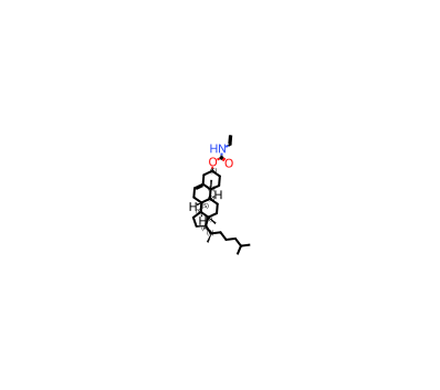 C=CNC(=O)O[C@H]1CC[C@@]2(C)C(=CC[C@H]3[C@@H]4CC[C@H]([C@H](C)CCCC(C)C)[C@@]4(C)CC[C@@H]32)C1